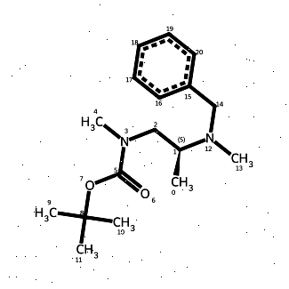 C[C@@H](CN(C)C(=O)OC(C)(C)C)N(C)Cc1ccccc1